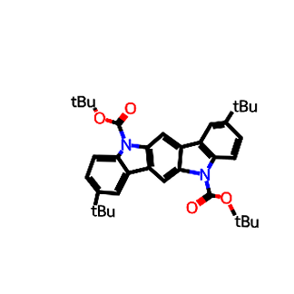 CC(C)(C)OC(=O)n1c2ccc(C(C)(C)C)cc2c2cc3c(cc21)c1cc(C(C)(C)C)ccc1n3C(=O)OC(C)(C)C